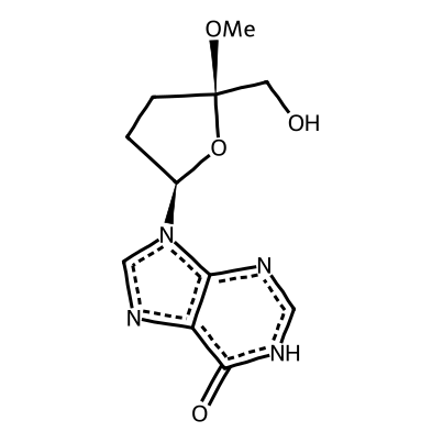 CO[C@]1(CO)CC[C@H](n2cnc3c(=O)[nH]cnc32)O1